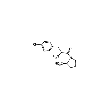 NC(Cc1ccc(Cl)cc1)C(=O)N1CCC[C@H]1C(=O)O